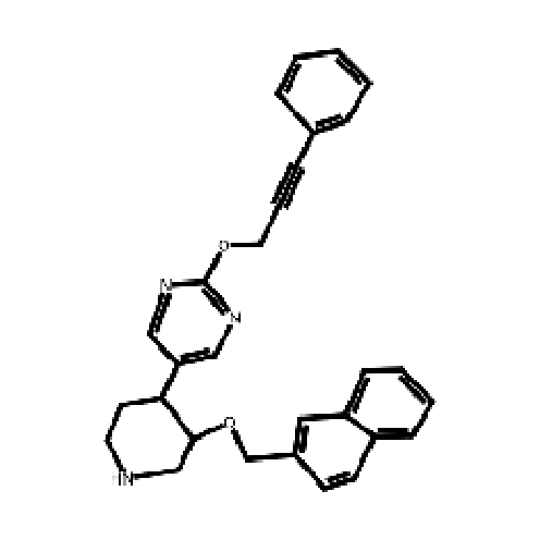 C(#Cc1ccccc1)COc1ncc(C2CCNCC2OCc2ccc3ccccc3c2)cn1